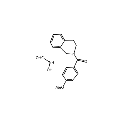 COc1ccc(C(=O)N2CCc3ccccc3C2)cc1.O=CNO